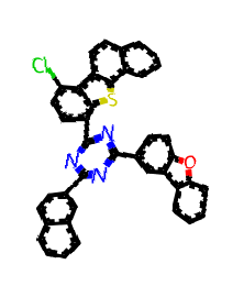 Clc1ccc(-c2nc(-c3ccc4ccccc4c3)nc(-c3ccc4oc5ccccc5c4c3)n2)c2sc3c4ccccc4ccc3c12